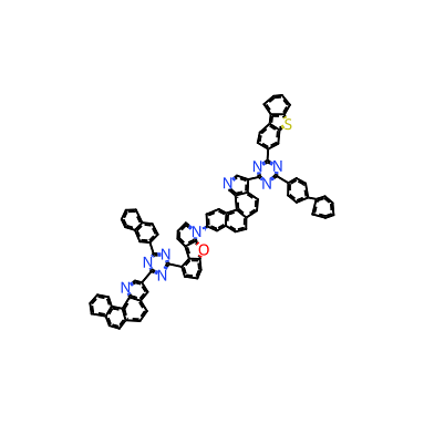 c1ccc(-c2ccc(-c3nc(-c4ccc5c(c4)sc4ccccc45)nc(-c4cncc5c4ccc4ccc6cc(-[n+]7cccc8c9c(-c%10nc(-c%11ccc%12ccccc%12c%11)nc(-c%11cnc%12c(ccc%13ccc%14ccccc%14c%13%12)c%11)n%10)cccc9oc87)ccc6c45)n3)cc2)cc1